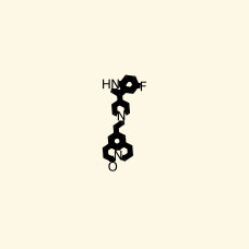 O=C1CCc2cc(CCN3CC=C(c4c[nH]c5ccc(F)cc45)CC3)cc3c2N1CCC3